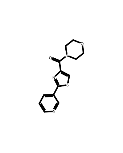 O=C(c1csc(-c2cccnc2)n1)N1CCOCC1